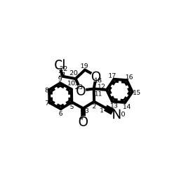 N#CC(C(=O)c1ccccc1)C1(c2ccccc2)OCC(CCl)O1